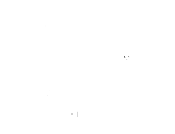 COc1ccc(C(C)O)cc1OC1CCOCC1